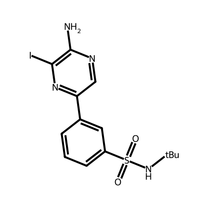 CC(C)(C)NS(=O)(=O)c1cccc(-c2cnc(N)c(I)n2)c1